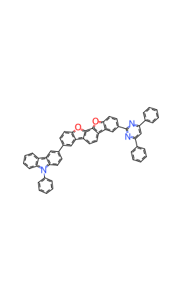 c1ccc(-c2cc(-c3ccccc3)nc(-c3ccc4oc5c(ccc6c7cc(-c8ccc9c(c8)c8ccccc8n9-c8ccccc8)ccc7oc65)c4c3)n2)cc1